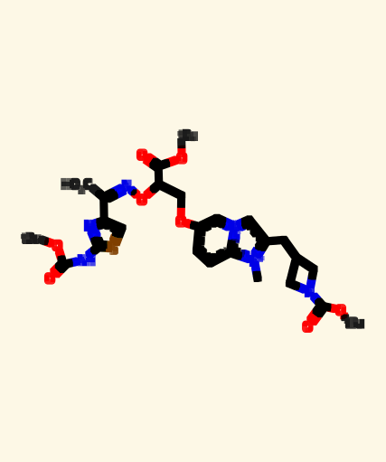 C[n+]1c(CC2CN(C(=O)OC(C)(C)C)C2)cn2cc(OCC(ON=C(C(=O)O)c3csc(NC(=O)OC(C)(C)C)n3)C(=O)OC(C)(C)C)ccc21